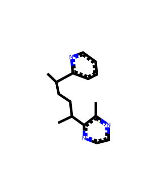 Cc1nccnc1C(C)CCC(C)c1ccccn1